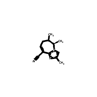 Cc1cn2c(n1)C(C#N)=CCC(C)[C@H]2C